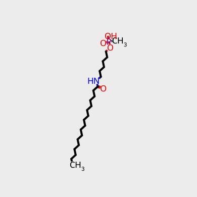 CCCCCCCCCCCCCCCCC(=O)NCCCCCCOP(C)(=O)O